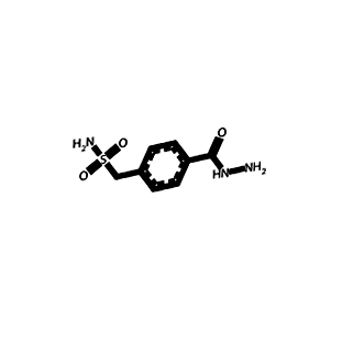 NNC(=O)c1ccc(CS(N)(=O)=O)cc1